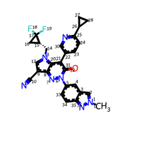 Cn1cc2cc(-n3nc4c(C#N)cn(C[C@@H]5CC5(F)F)c4c(-c4ccc(C5CC5)nc4)c3=O)ccc2n1